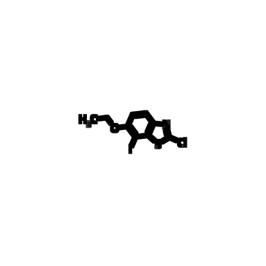 CCOc1ccc2nc(Cl)sc2c1I